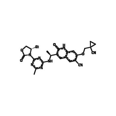 CC[C@H]1COC(=O)N1c1nc(C)nc(N[C@@H](C)c2cc3cc(C#N)c(OCC4(C#N)CC4)cc3[nH]c2=O)n1